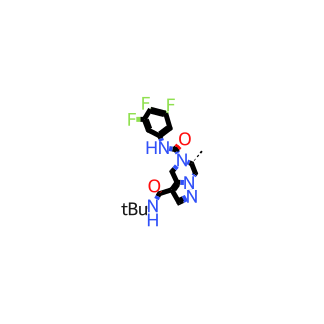 C[C@@H]1Cn2ncc(C(=O)NC(C)(C)C)c2CN1C(=O)Nc1cc(F)c(F)c(F)c1